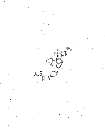 CC(C)=CC(=O)NCC(=O)N1CCN(Cc2cc3c(N4CCOC[C@@H]4C)nc(-c4cnc(N)cc4C(F)(F)F)nn3c2)CC1